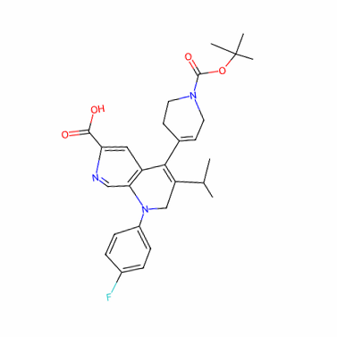 CC(C)C1=C(C2=CCN(C(=O)OC(C)(C)C)CC2)c2cc(C(=O)O)ncc2N(c2ccc(F)cc2)C1